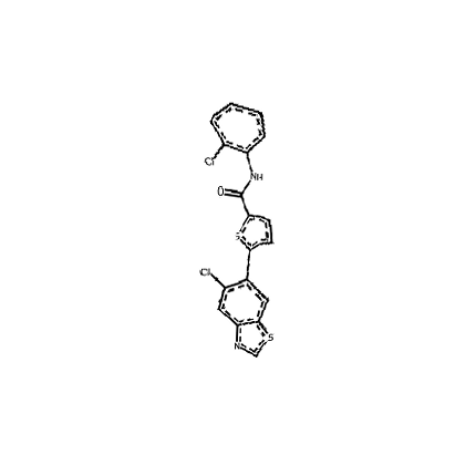 O=C(Nc1ccccc1Cl)c1ccc(-c2cc3scnc3cc2Cl)s1